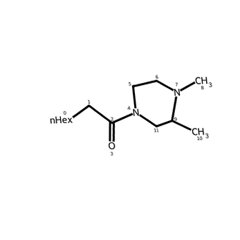 CCCCCCCC(=O)N1CCN(C)C(C)C1